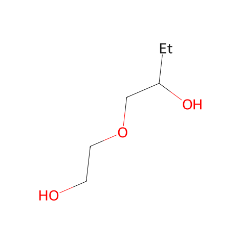 CCC(O)COCCO